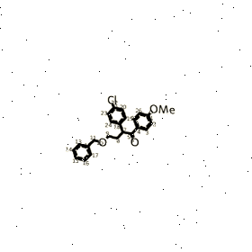 COc1ccc(C(=O)C(CCOCc2ccccc2)c2ccc(Cl)cc2)cc1